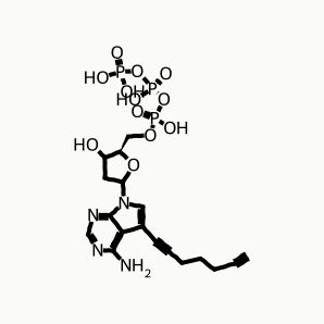 C#CCCCC#Cc1cn(C2CC(O)[C@@H](COP(=O)(O)OP(=O)(O)OP(=O)(O)O)O2)c2ncnc(N)c12